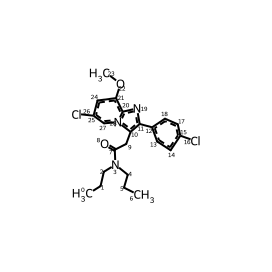 CCCN(CCC)C(=O)Cc1c(-c2ccc(Cl)cc2)nc2c(OC)cc(Cl)cn12